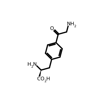 NCC(=O)c1ccc(C[C@H](N)C(=O)O)cc1